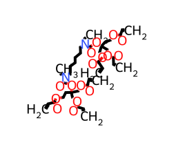 C=CC(=O)OCCC(COC(=O)C=C)(COC(=O)C=C)OC(=O)N(CC)CCCCCCN(CC)C(=O)OC(CCOC(=O)C=C)(COC(=O)C=C)COC(=O)C=C